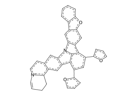 C1=C[n+]2ccc3cc4c(cc3c2CC1)c1c(-c2ccco2)cc(-c2ccco2)c2c3cc5oc6ccccc6c5cc3n4c12